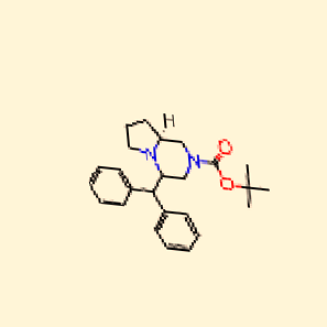 CC(C)(C)OC(=O)N1CC(C(c2ccccc2)c2ccccc2)N2CCC[C@H]2C1